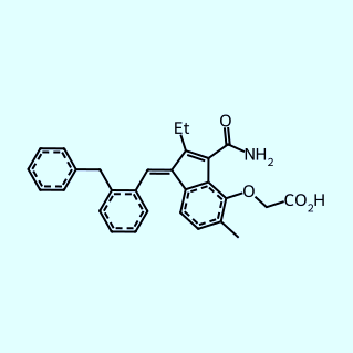 CCC1=C(C(N)=O)c2c(ccc(C)c2OCC(=O)O)/C1=C\c1ccccc1Cc1ccccc1